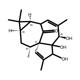 CC1=C[C@]23C(=O)C(C=C(C)[C@@H](O)C2(O)C1O)[C@H]1[C@@H](C[C@H]3C)C1(C)C